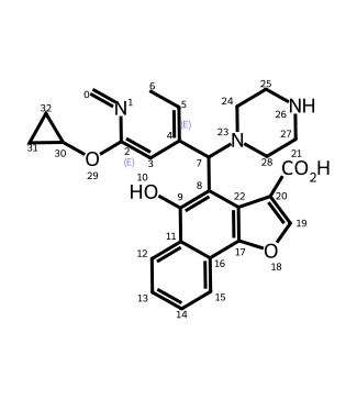 C=N/C(=C\C(=C/C)C(c1c(O)c2ccccc2c2occ(C(=O)O)c12)N1CCNCC1)OC1CC1